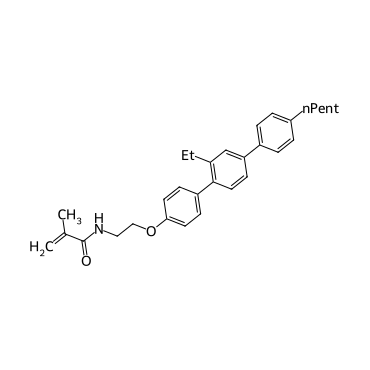 C=C(C)C(=O)NCCOc1ccc(-c2ccc(-c3ccc(CCCCC)cc3)cc2CC)cc1